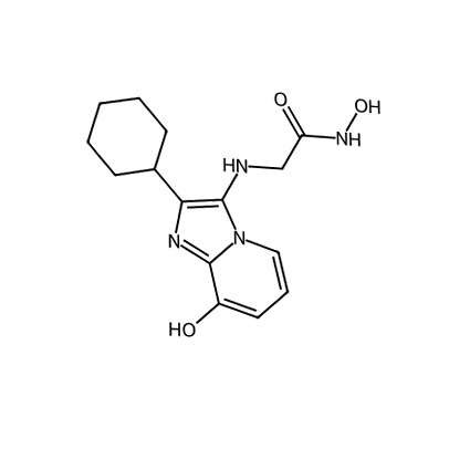 O=C(CNc1c(C2CCCCC2)nc2c(O)cccn12)NO